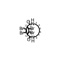 O=C1NCCCCCCNC(=O)c2c(Br)c(Br)c1c(Br)c2Br